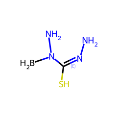 BN(N)/C(S)=N\N